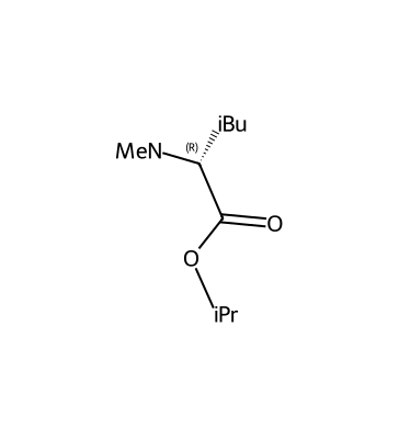 CCC(C)[C@@H](NC)C(=O)OC(C)C